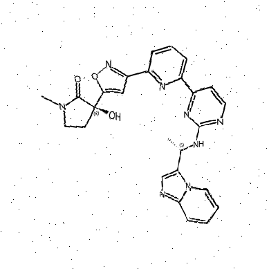 C[C@H](Nc1nccc(-c2cccc(-c3cc([C@]4(O)CCN(C)C4=O)on3)n2)n1)c1cnc2ccccn12